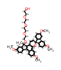 COc1ccc(C2(c3ccc(OC)cc3)C=Cc3c4c(c5ccc(OC)cc5c3O2)-c2ccc(OC)cc2C4(C)OCCOCCOCCOCCO)cc1